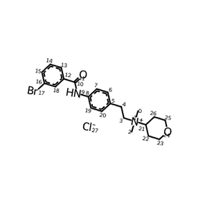 C[N+](C)(CCc1ccc(NC(=O)c2cccc(Br)c2)cc1)C1CCOCC1.[Cl-]